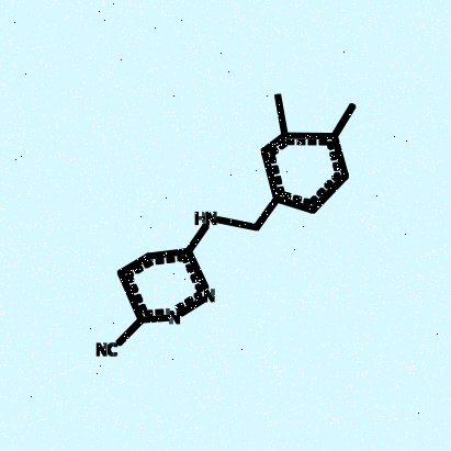 Cc1ccc(CNc2ccc(C#N)nn2)cc1C